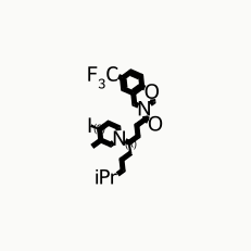 CC(C)CCC[C@H](CCC(=O)N1COc2ccc(C(F)(F)F)cc2C1)N1CC[C@H](I)C(C)C1